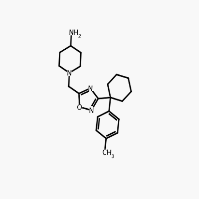 Cc1ccc(C2(c3noc(CN4CCC(N)CC4)n3)CCCCC2)cc1